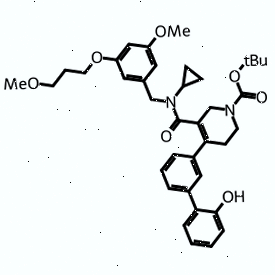 COCCCOc1cc(CN(C(=O)C2=C(c3cccc(-c4ccccc4O)c3)CCN(C(=O)OC(C)(C)C)C2)C2CC2)cc(OC)c1